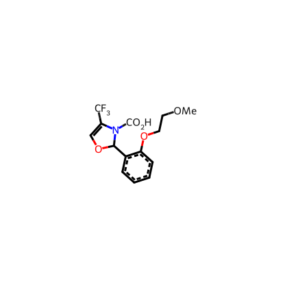 COCCOc1ccccc1C1OC=C(C(F)(F)F)N1C(=O)O